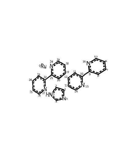 [Ru].c1c[nH]cn1.c1ccc(-c2ccccn2)nc1.c1ccc(-c2ccccn2)nc1